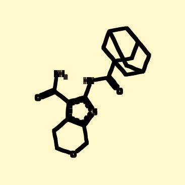 NC(=O)c1c(NC(=O)C23CC4CC(CC(C4)C2)C3)sc2c1CCOC2